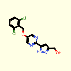 OCc1cc(-c2ncc(OCc3c(Cl)cccc3Cl)cn2)[nH]n1